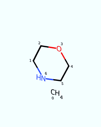 C.C1COCCN1